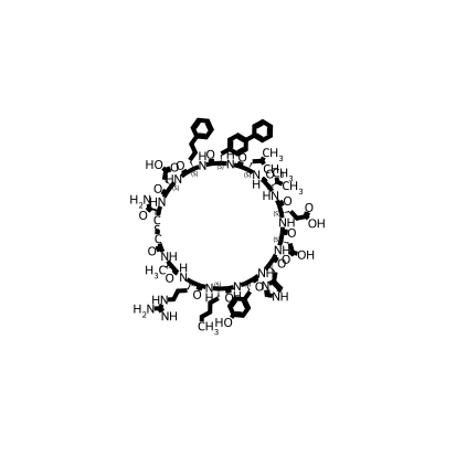 CCCCC[C@@H]1NC(=O)[C@H](CCCNC(=N)N)NC(=O)[C@H](C)NC(=O)CSC[C@@H](C(N)=O)NC(=O)[C@H](CC(=O)O)NC(=O)[C@H](CCCc2ccccc2)NC(=O)[C@H](Cc2ccc(-c3ccccc3)cc2)NC(=O)[C@H](CC(C)C)NC(=O)[C@H](C(C)C)NC(=O)[C@H](CCC(=O)O)NC(=O)[C@H](CC(=O)O)NC(=O)[C@H](Cc2c[nH]cn2)NC(=O)[C@H](Cc2ccc(O)cc2)NC1=O